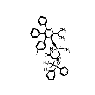 COP(=O)(C#Cc1c(C(C)C)nc(-c2ccccc2)c(-c2ccccc2)c1-c1ccc(F)cc1)C[C@H](CC(=O)O)O[Si](c1ccccc1)(c1ccccc1)C(C)(C)C